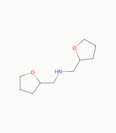 C1COC(CNCC2CCCO2)C1